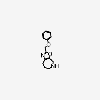 c1ccc(OCc2nc3c(o2)CNCCC3)cc1